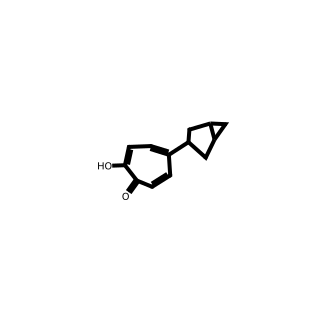 O=c1ccc(C2CC3CC3C2)ccc1O